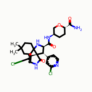 CC1(C)CCC2(CC1)N[C@@H](C(=O)N[C@@H]1CC[C@@H](C(N)=O)OC1)[C@H](c1ccnc(Cl)c1)[C@]21C(=O)Nc2cc(Cl)ccc21